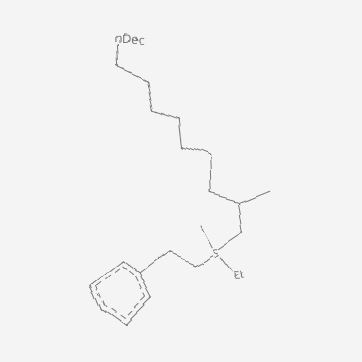 CCCCCCCCCCCCCCCCCC(C)CS(C)(CC)CCc1ccccc1